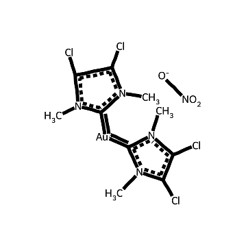 Cn1c(Cl)c(Cl)n(C)[c]1=[Au-3]=[c]1n(C)c(Cl)c(Cl)n1C.O=[N+]([O-])[O-]